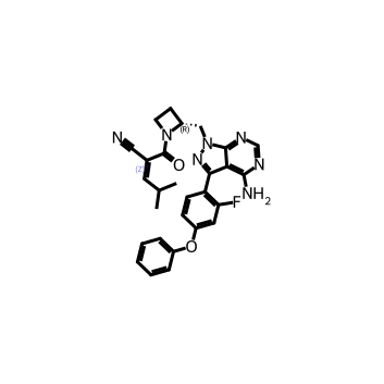 CC(C)/C=C(/C#N)C(=O)N1CC[C@@H]1Cn1nc(-c2ccc(Oc3ccccc3)cc2F)c2c(N)ncnc21